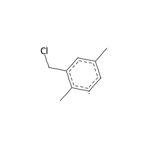 Cc1c[c]c(C)c(CCl)c1